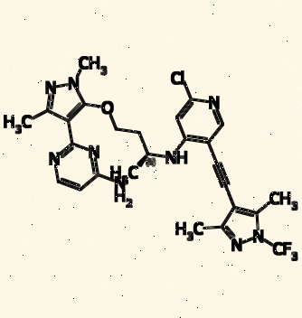 Cc1nn(C(F)(F)F)c(C)c1C#Cc1cnc(Cl)cc1N[C@@H](C)CCOc1c(-c2nccc(N)n2)c(C)nn1C